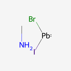 CN.[Br][Pb][I]